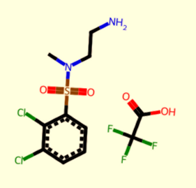 CN(CCN)S(=O)(=O)c1cccc(Cl)c1Cl.O=C(O)C(F)(F)F